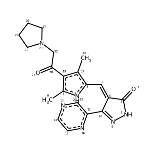 Cc1[nH]c(/C=C2/C(=O)NN=C2c2cnccn2)c(C)c1C(=O)CN1CCCC1